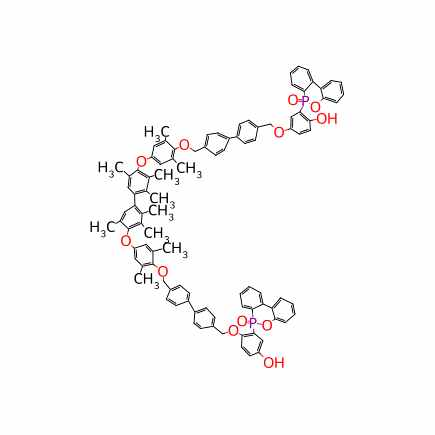 Cc1cc(Oc2c(C)cc(-c3cc(C)c(Oc4cc(C)c(OCc5ccc(-c6ccc(COc7ccc(O)cc7P7(=O)Oc8ccccc8-c8ccccc87)cc6)cc5)c(C)c4)c(C)c3C)c(C)c2C)cc(C)c1OCc1ccc(-c2ccc(COc3ccc(O)c(P4(=O)Oc5ccccc5-c5ccccc54)c3)cc2)cc1